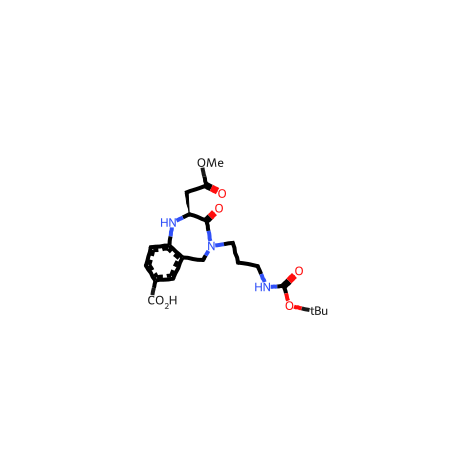 COC(=O)C[C@@H]1Nc2ccc(C(=O)O)cc2CN(CCCNC(=O)OC(C)(C)C)C1=O